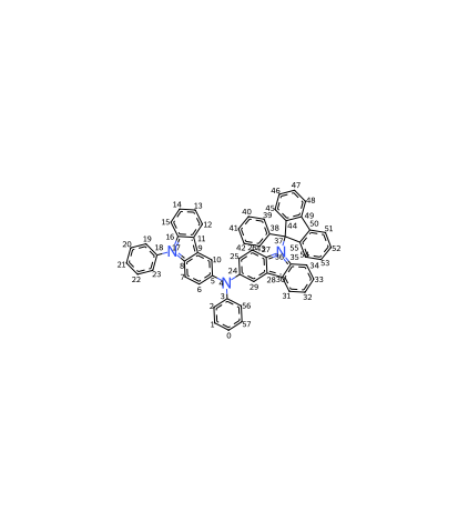 c1ccc(N(c2ccc3c(c2)c2ccccc2n3-c2ccccc2)c2ccc3c(c2)c2ccccc2n3C2(c3ccccc3)c3ccccc3-c3ccccc32)cc1